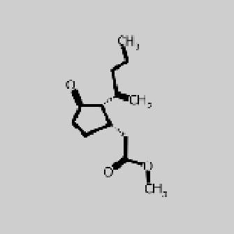 C=C(CCC)[C@H]1C(=O)CC[C@H]1CC(=O)OC